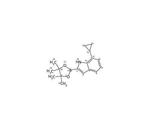 CC1(C)OB(c2cc3cccc(C4CC4)c3[nH]2)OC1(C)C